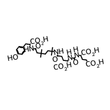 CC(C)(CCC(C)(C)NC(=O)CC[C@H](NC(=O)N[C@@H](CCC(=O)O)C(=O)O)C(=O)O)CC(=O)N[C@@H](Cc1ccc(O)cc1)C(=O)O